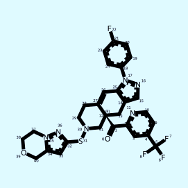 O=C(c1cc(C(F)(F)F)ccn1)[C@]12Cc3cnn(-c4ccc(F)cc4)c3C=C1CCN(Sc1cc3n(n1)CCOC3)C2